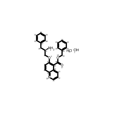 Cl.Cl.N[C@@H](COc1ccc2ncccc2c1C(=O)OCc1ccccc1)Cc1ccccc1